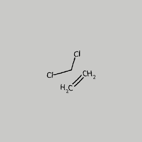 C=C.ClCCl